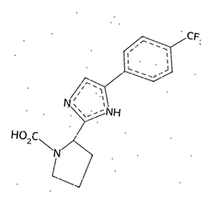 O=C(O)N1CCCC1c1ncc(-c2ccc(C(F)(F)F)cc2)[nH]1